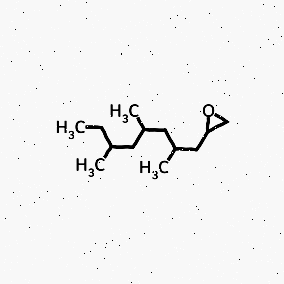 CCC(C)CC(C)CC(C)CC1CO1